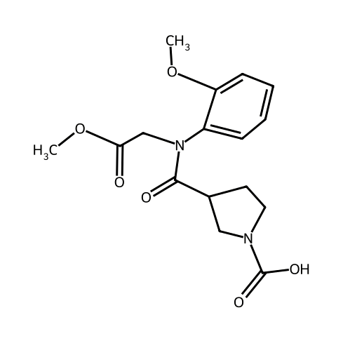 COC(=O)CN(C(=O)C1CCN(C(=O)O)C1)c1ccccc1OC